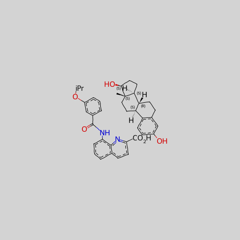 CC(C)Oc1cccc(C(=O)Nc2cccc3ccc(C(=O)O)nc23)c1.C[C@]12CC[C@@H]3c4ccc(O)cc4CC[C@H]3[C@@H]1CC[C@@H]2O